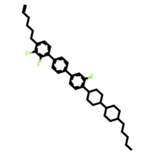 C=CCCCCc1ccc(-c2ccc(-c3ccc(C4CCC(C5CCC(CCCCC)CC5)CC4)c(F)c3)cc2)c(F)c1F